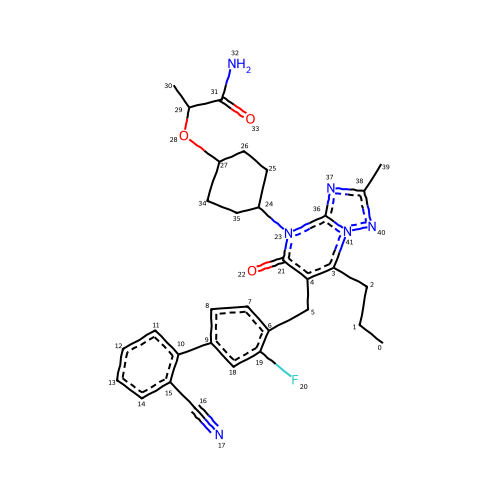 CCCc1c(Cc2ccc(-c3ccccc3C#N)cc2F)c(=O)n(C2CCC(OC(C)C(N)=O)CC2)c2nc(C)nn12